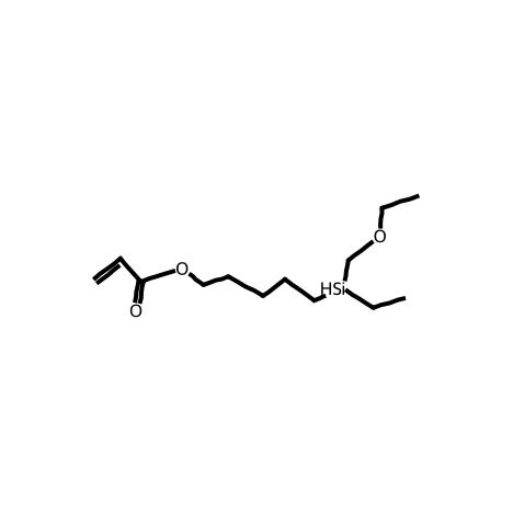 C=CC(=O)OCCCCC[SiH](CC)COCC